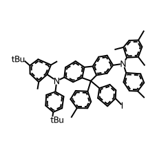 Cc1ccc(N(c2ccc3c(c2)C(c2ccc(C)cc2)(c2ccc(I)cc2)c2cc(N(c4ccc(C(C)(C)C)cc4)c4c(C)cc(C(C)(C)C)cc4C)ccc2-3)c2c(C)cc(C)cc2C)cc1